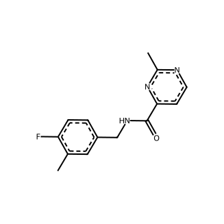 Cc1nccc(C(=O)NCc2ccc(F)c(C)c2)n1